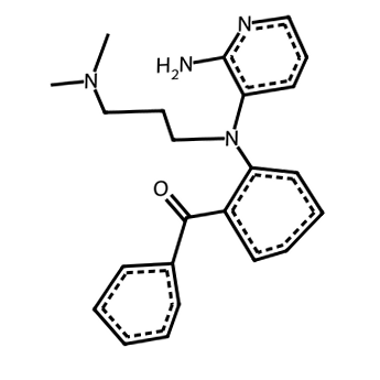 CN(C)CCCN(c1ccccc1C(=O)c1ccccc1)c1cccnc1N